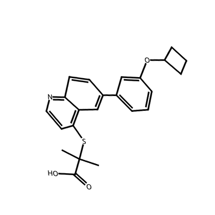 CC(C)(Sc1ccnc2ccc(-c3cccc(OC4CCC4)c3)cc12)C(=O)O